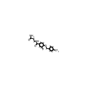 NC(=O)CCNC(=O)c1ccc(OCc2ccc(C(F)(F)F)cc2)c(F)c1